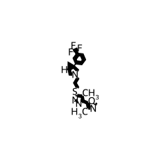 Cc1ncoc1C1=NN=C(SCCCN2C[C@@H]3C[C@]3(c3cccc(C(F)(F)F)c3)C2)C1C